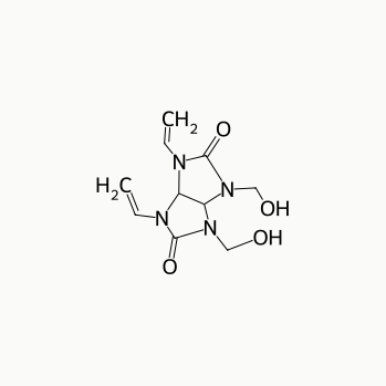 C=CN1C(=O)N(CO)C2C1N(C=C)C(=O)N2CO